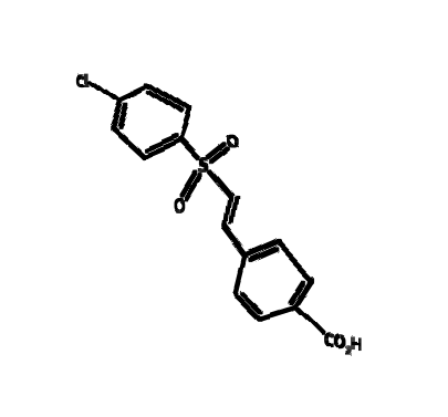 O=C(O)c1ccc(C=CS(=O)(=O)c2ccc(Cl)cc2)cc1